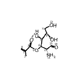 C=C(C)C(=O)O[C@@H]([C@@H](O)[C@H](O)CO)[C@@H](N)C=O